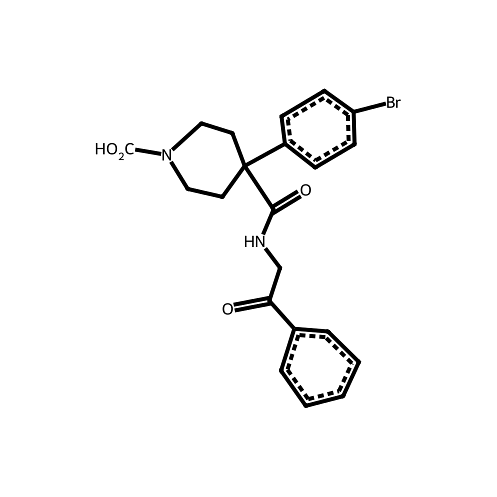 O=C(CNC(=O)C1(c2ccc(Br)cc2)CCN(C(=O)O)CC1)c1ccccc1